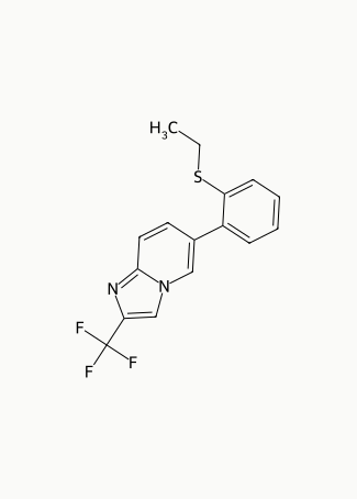 CCSc1ccccc1-c1ccc2nc(C(F)(F)F)cn2c1